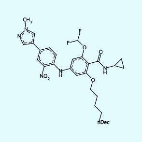 CCCCCCCCCCCCCCOc1cc(Nc2ccc(-c3cnn(C)c3)cc2[N+](=O)[O-])cc(OC(F)F)c1C(=O)NC1CC1